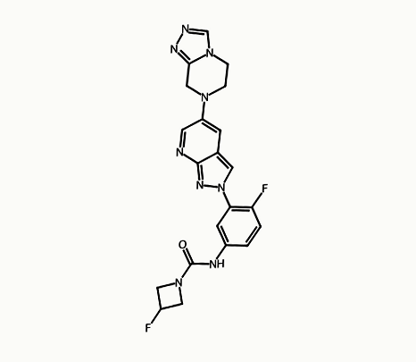 O=C(Nc1ccc(F)c(-n2cc3cc(N4CCn5cnnc5C4)cnc3n2)c1)N1CC(F)C1